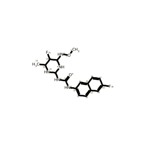 CONC1NC(NC(=O)Nc2ccc3cc(F)ccc3c2)NC(C)C1F